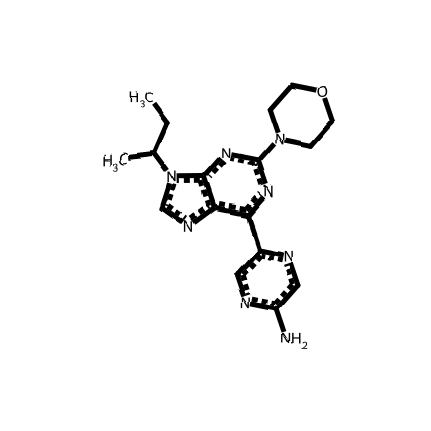 CCC(C)n1cnc2c(-c3cnc(N)cn3)nc(N3CCOCC3)nc21